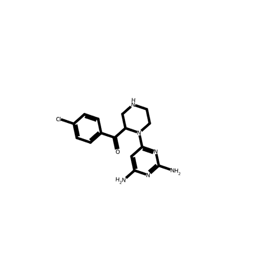 Nc1cc(N2CCNCC2C(=O)c2ccc(Cl)cc2)nc(N)n1